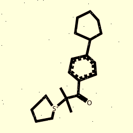 CC(C)(C(=O)c1ccc(C2CCCCC2)cc1)[S+]1CCCC1